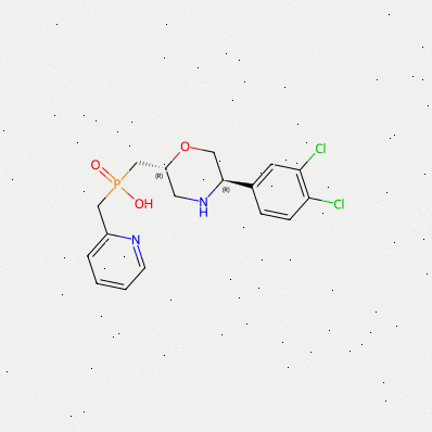 O=P(O)(Cc1ccccn1)C[C@H]1CN[C@H](c2ccc(Cl)c(Cl)c2)CO1